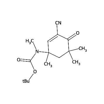 CN(C(=O)OC(C)(C)C)C1(C)C=C(C#N)C(=O)C(C)(C)C1